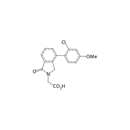 COc1ccc(-c2cccc3c2CN(CC(=O)O)C3=O)c(Cl)c1